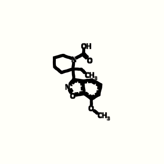 CCC1(c2noc3c(OC)cccc23)CCCCN1C(=O)O